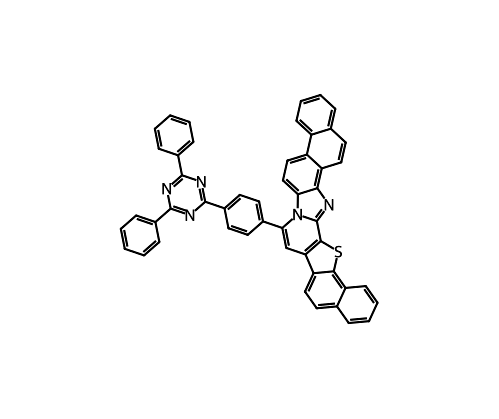 c1ccc(-c2nc(-c3ccccc3)nc(-c3ccc(-c4cc5c6ccc7ccccc7c6sc5c5nc6c7ccc8ccccc8c7ccc6n45)cc3)n2)cc1